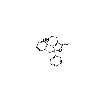 O=C1OC(Cc2ccccc2)(c2ccccc2)C2=C1CCNC2